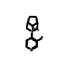 NC1C2CCC1CN(c1ccncc1F)C2